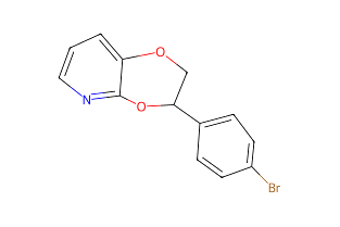 Brc1ccc(C2COc3cccnc3O2)cc1